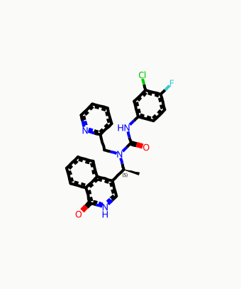 C[C@@H](c1c[nH]c(=O)c2ccccc12)N(Cc1ccccn1)C(=O)Nc1ccc(F)c(Cl)c1